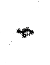 O=C(NCC1CCOC1)c1cc(C(OCc2cccs2)c2ccccc2)on1